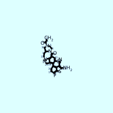 C=CC(=O)N1CCN2C(=O)c3cc(F)c(-c4ccc(F)c5sc(N)c(C#N)c45)c4cnn(c34)CCC2C1